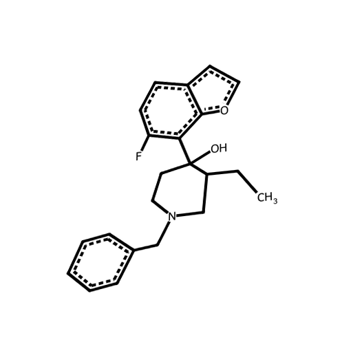 CCC1CN(Cc2ccccc2)CCC1(O)c1c(F)ccc2ccoc12